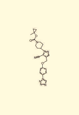 CC1(OC(=O)N2CCC(n3ncc(COc4ccc(-n5cnnn5)cc4)c3C#N)CC2)CC1